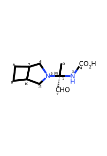 C[C@@](C=O)(NC(=O)O)N1CC2CCC2C1